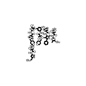 CC(C)(C(=O)Nc1nc(C(F)(F)F)cs1)S(=O)(=O)CC1CCOCC1.CC(C)(C)c1cccc(NC(=O)C(C)(C)S(=O)(=O)CC2CCOCC2)c1.CCCS(=O)(=O)C(C)(C)C(=O)Nc1c(C)c(-c2ccccc2)nn1C.CCCS(=O)(=O)C(C)(C)C(=O)Nc1cc(CC(C)(C)C)no1.CCCS(=O)(=O)C(C)(C)C(=O)Nc1nc(C)c(C(C)(C)C)s1